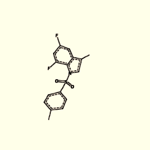 Cc1ccc(S(=O)(=O)n2cc(C)c3cc(F)cc(F)c32)cc1